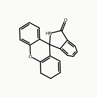 O=C1NC2(C3=C(CCC=C3)Oc3ccccc32)c2ccccc21